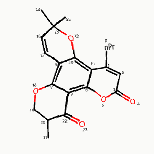 CCCc1cc(=O)oc2c3c(c4c(c12)OC(C)(C)C=C4)OCC(C)C3=O